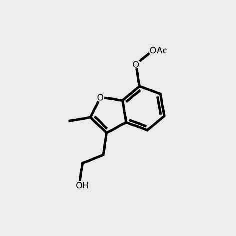 CC(=O)OOc1cccc2c(CCO)c(C)oc12